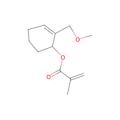 C=C(C)C(=O)OC1CCCC=C1COC